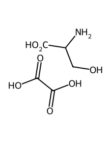 NC(CO)C(=O)O.O=C(O)C(=O)O